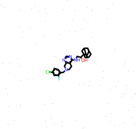 OC(CNc1ncnc2c1CCN(Cc1ccc(Cl)cc1F)C2)C12CC3CC(CC(C3)C1)C2